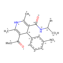 COC(=O)C1=C(C)NC(C)=C(C(=O)NC(C(=O)O)C(C)C)C1c1cccc([N+](=O)[O-])c1